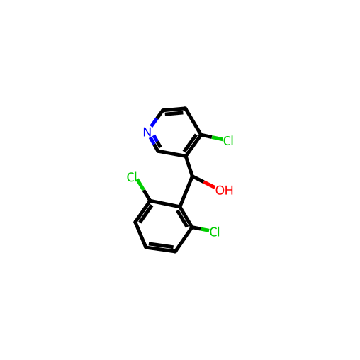 OC(c1cnccc1Cl)c1c(Cl)cccc1Cl